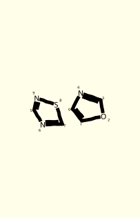 c1cocn1.c1ncsn1